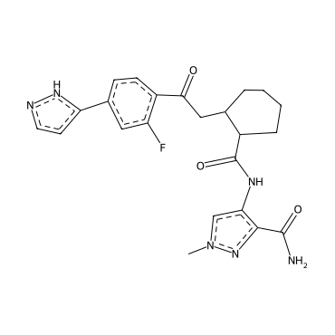 Cn1cc(NC(=O)C2CCCCC2CC(=O)c2ccc(-c3ccn[nH]3)cc2F)c(C(N)=O)n1